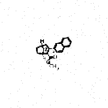 COC(=O)[C@@H]1[C@@H](c2ccc3ccccc3c2)C[C@@H]2CC[C@H]1N2C